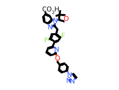 CC1(C)COCC1n1c(Cc2cc(F)c(-c3cccc(OCc4ccc(-n5ccnn5)cc4)n3)cc2F)nc2ccc(C(=O)O)cc21